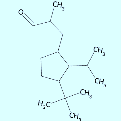 CC(C=O)CC1CCC(C(C)(C)C)C1C(C)C